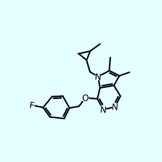 Cc1c(C)n(CC2CC2C)c2c(OCc3ccc(F)cc3)nncc12